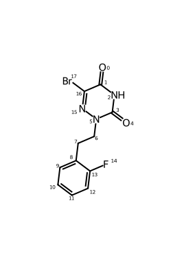 O=c1[nH]c(=O)n(CCc2ccccc2F)nc1Br